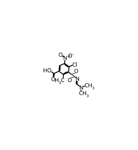 Cc1c(C(=O)O)cc([N+](=O)[O-])c(Cl)c1S(=O)(=O)/N=C/N(C)C